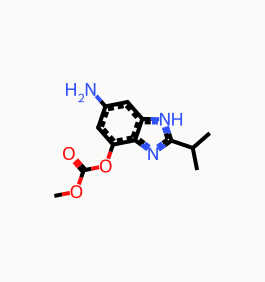 COC(=O)Oc1cc(N)cc2[nH]c(C(C)C)nc12